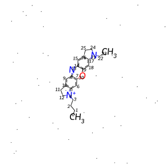 CCCC[N+]1=c2cc3c(cc2CC1)=Nc1cc2c(cc1O3)N(CC)CC2